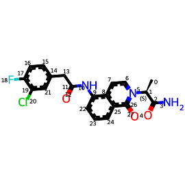 C[C@@H](C(N)=O)n1ccc2c(NC(=O)Cc3ccc(F)c(Cl)c3)cccc2c1=O